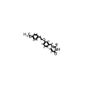 COc1ccc(CCOc2cccc(Cn3ccc(=O)[nH]c3=S)c2)cc1